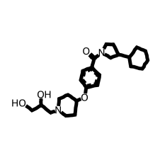 O=C(c1ccc(OC2CCN(CC(O)CO)CC2)cc1)N1CCC(C2CCCCC2)C1